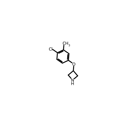 Cc1cc(OC2CNC2)ccc1Cl